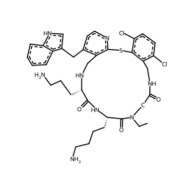 CCN1CC(=O)NCc2c(Cl)ccc(Cl)c2Sc2nccc(Cc3c[nH]c4ccccc34)c2CN[C@@H](CCCN)C(=O)N[C@@H](CCCCN)C1=O